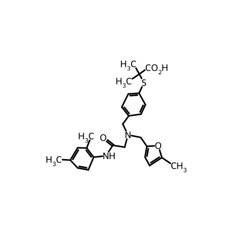 Cc1ccc(NC(=O)CN(Cc2ccc(SC(C)(C)C(=O)O)cc2)Cc2ccc(C)o2)c(C)c1